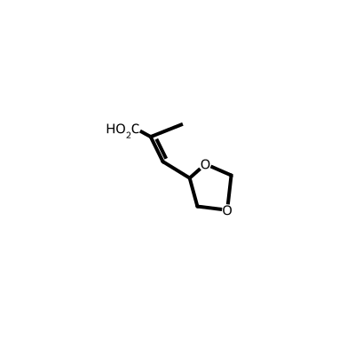 CC(=CC1COCO1)C(=O)O